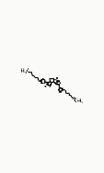 CCCCCCCCc1cccc(-c2ccc3oc4ccc5c(ccc6oc7cc(CCCCCCCC)ccc7c65)c4c3c2)c1